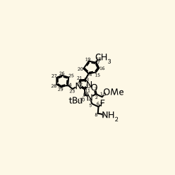 COCC(=O)N(CC(F)CN)[C@@H](c1nc(-c2ccc(C)cc2)cn1Cc1ccccc1)C(C)(C)C